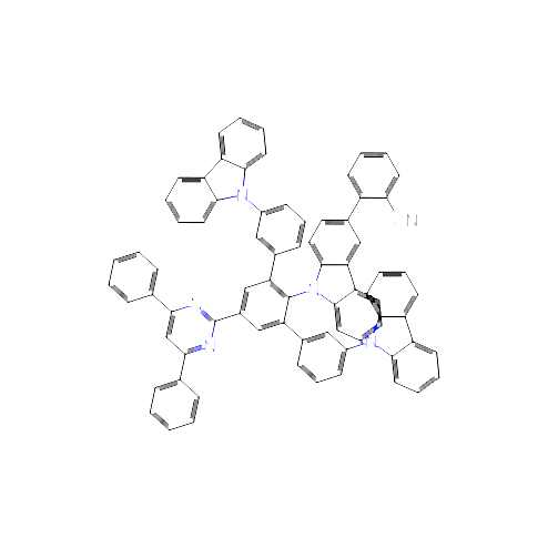 N#Cc1ccccc1-c1ccc2c(c1)c1ccccc1n2-c1c(-c2cccc(-n3c4ccccc4c4ccccc43)c2)cc(-c2nc(-c3ccccc3)cc(-c3ccccc3)n2)cc1-c1cccc(-n2c3ccccc3c3ccccc32)c1